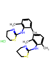 Cc1cccc(C)c1NC1=NCCCS1.Cc1cccc(C)c1NC1=NCCCS1.Cl